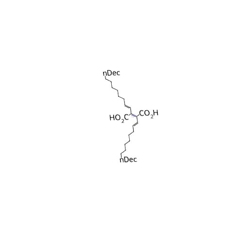 CCCCCCCCCCCCCCCCC=C/C(C(=O)O)=C(/C=CCCCCCCCCCCCCCCCC)C(=O)O